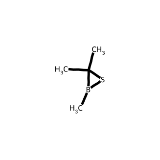 CB1SC1(C)C